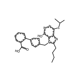 CCCCc1nc2c(SC(C)C)nnc(O)c2n1Cc1ccc(-c2ccccc2C(=O)O)cc1